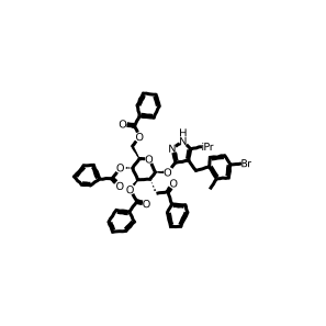 Cc1cc(Br)ccc1Cc1c(O[C@@H]2O[C@H](COC(=O)c3ccccc3)[C@@H](OC(=O)c3ccccc3)[C@H](OC(=O)c3ccccc3)[C@H]2CC(=O)c2ccccc2)n[nH]c1C(C)C